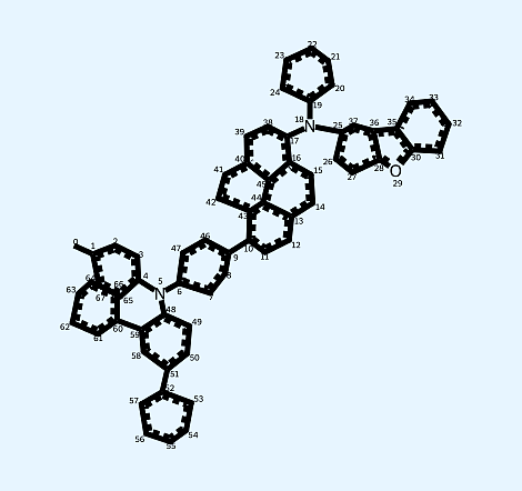 Cc1ccc(N(c2ccc(-c3ccc4ccc5c(N(c6ccccc6)c6ccc7oc8ccccc8c7c6)ccc6ccc3c4c65)cc2)c2ccc(-c3ccccc3)cc2-c2ccccc2)cc1